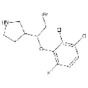 CC(C)CC(Oc1c(F)ccc(Cl)c1Cl)C1CCNC1